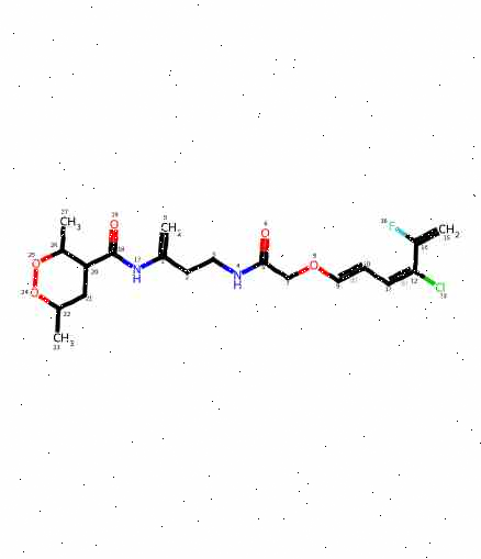 C=C(CCNC(=O)CO/C=C/C=C(/Cl)C(=C)F)NC(=O)C1CC(C)OOC1C